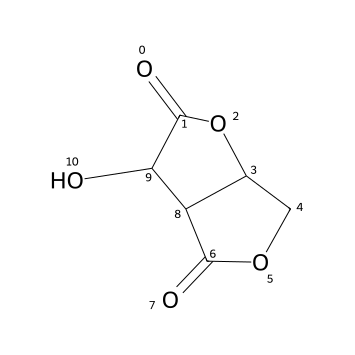 O=C1OC2COC(=O)C2C1O